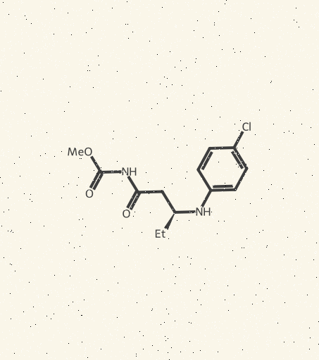 CC[C@@H](CC(=O)NC(=O)OC)Nc1ccc(Cl)cc1